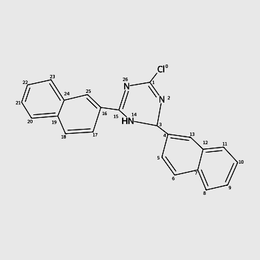 ClC1=NC(c2ccc3ccccc3c2)NC(c2ccc3ccccc3c2)=N1